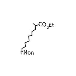 CCCCCCCCCCCCCCCCC=C(C)C(=O)OCC